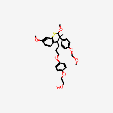 COCOc1ccc(C2(C)C(OC)Sc3cc(OC)ccc3C2CCCOc2ccc(OCCO)cc2)cc1